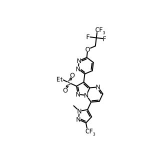 CCS(=O)(=O)c1nn2c(-c3cc(C(F)(F)F)nn3C)ccnc2c1-c1ccc(OCC(F)(F)C(F)(F)F)nn1